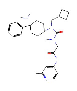 Cc1cc(NC(=O)CN2C[C@]3(CC[C@@](c4ccccc4)(N(C)C)CC3)N(CC3CCC3)C2=O)ccn1